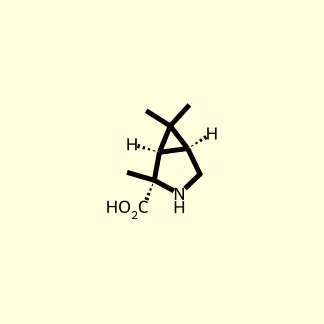 CC1(C)[C@H]2[C@@H]1CN[C@]2(C)C(=O)O